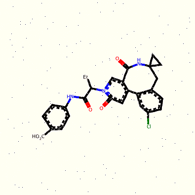 CCC(C(=O)Nc1ccc(C(=O)O)cc1)n1cc2c(cc1=O)-c1cc(Cl)ccc1CC1(CC1)NC2=O